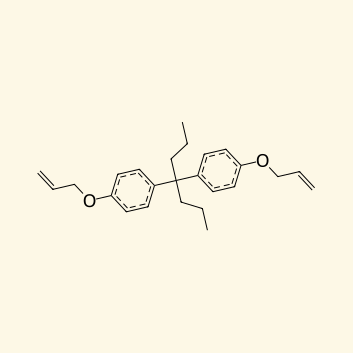 C=CCOc1ccc(C(CCC)(CCC)c2ccc(OCC=C)cc2)cc1